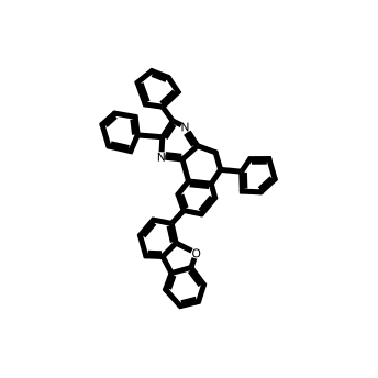 c1ccc(-c2nc3c(nc2-c2ccccc2)-c2cc(-c4cccc5c4oc4ccccc45)ccc2C(c2ccccc2)C3)cc1